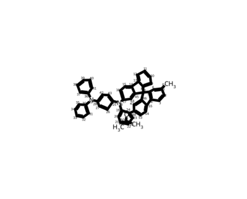 Cc1ccc2c(c1)C1(c3ccccc3-c3ccc(N(c4ccccc4)c4ccc(N(c5ccccc5)c5ccccc5)cc4)cc31)c1cc(OC(C)C)ccc1-2